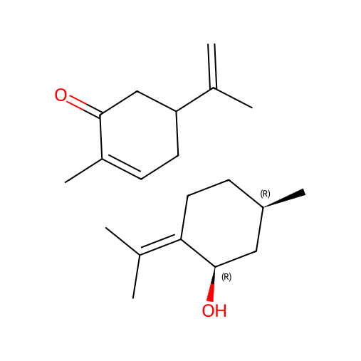 C=C(C)C1CC=C(C)C(=O)C1.CC(C)=C1CC[C@@H](C)C[C@H]1O